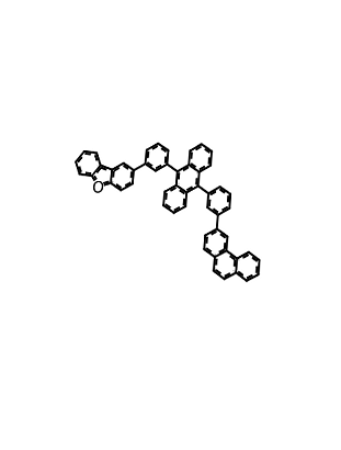 c1cc(-c2ccc3ccc4ccccc4c3c2)cc(-c2c3ccccc3c(-c3cccc(-c4ccc5oc6ccccc6c5c4)c3)c3ccccc23)c1